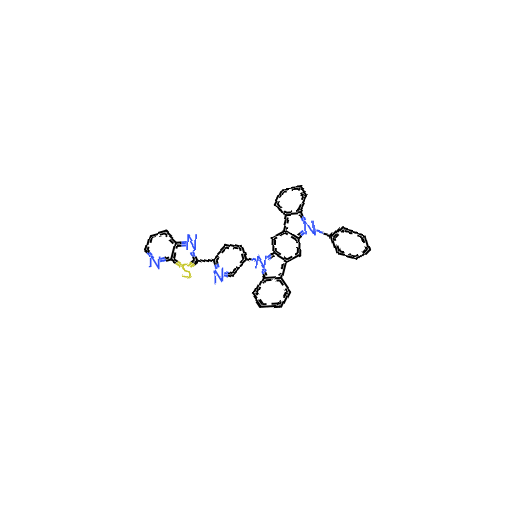 c1ccc(-n2c3ccccc3c3cc4c(cc32)c2ccccc2n4-c2ccc(-c3nc4cccnc4s3)nc2)cc1